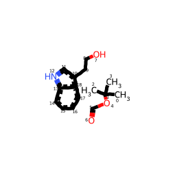 CC(C)(C)OC=O.OCCc1c[nH]c2ccccc12